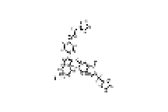 COc1cc(Cc2c(-c3ccc(OCCN4CCCC4)cc3)sc3cc(O)ccc23)ccc1OCC(C)(C)N1CCCC1